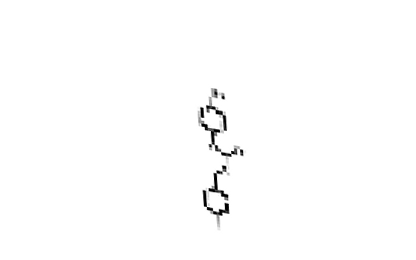 CCC(OCc1ccc(C)cc1)Oc1ccc(C(C)CC)cc1